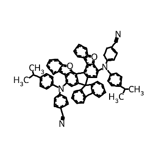 CC(C)c1ccc(N(C2=CC=C(C#N)CC2)c2cc3c(c4c2oc2ccccc24)-c2c(cc(N(c4ccc(C#N)cc4)c4ccc(C(C)C)cc4)c4c2oc2ccccc24)C32c3ccccc3-c3ccccc32)cc1